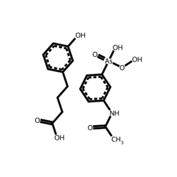 CC(=O)Nc1cccc([As](=O)(O)OO)c1.O=C(O)CCCc1cccc(O)c1